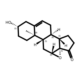 C[C@]12CC[C@H](O)CC1=CC[C@H]1[C@@H]3CCC(=O)[C@]34O[C@@H]4C[C@@H]12